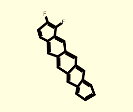 Fc1ccc2cc3cc4cc5ccccc5cc4cc3cc2c1F